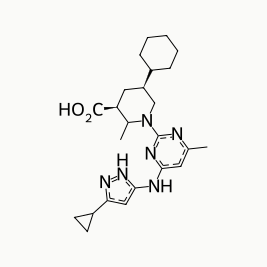 Cc1cc(Nc2cc(C3CC3)n[nH]2)nc(N2C[C@H](C3CCCCC3)C[C@H](C(=O)O)C2C)n1